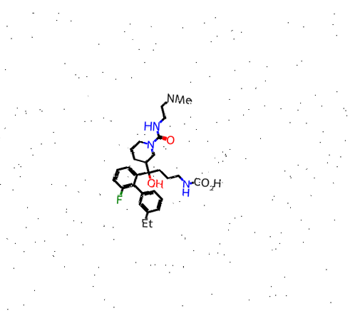 CCc1cccc(-c2c(F)cccc2C(O)(CCCNC(=O)O)C2CCCN(C(=O)NCCNC)C2)c1